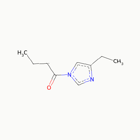 CC[CH]C(=O)n1cnc(CC)c1